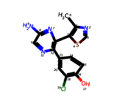 Cc1ncsc1-c1nc(N)cnc1-c1ccc(O)c(Cl)c1